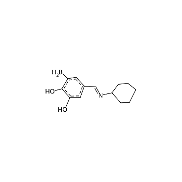 Bc1cc(/C=N/C2CCCCC2)cc(O)c1O